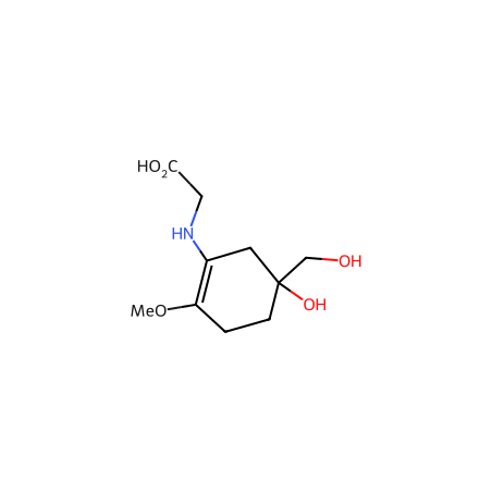 COC1=C(NCC(=O)O)CC(O)(CO)CC1